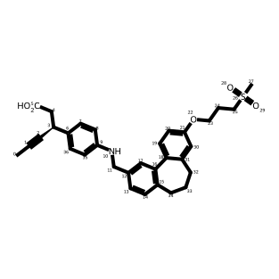 CC#C[C@@H](CC(=O)O)c1ccc(NCc2ccc3c(c2)-c2ccc(OCCCS(C)(=O)=O)cc2CCC3)cc1